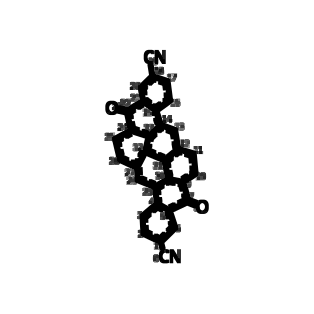 N#Cc1ccc2c(c1)c(=O)c1ccc3cc4c5ccc(C#N)cc5c(=O)c5ccc6cc2c1c3c6c54